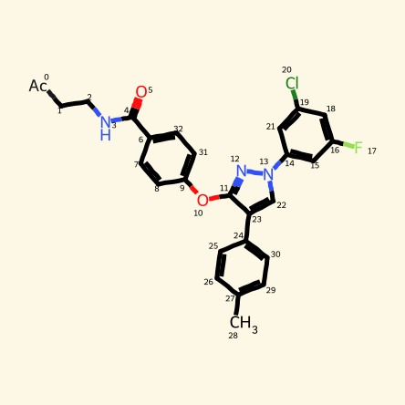 CC(=O)CCNC(=O)c1ccc(Oc2nn(-c3cc(F)cc(Cl)c3)cc2-c2ccc(C)cc2)cc1